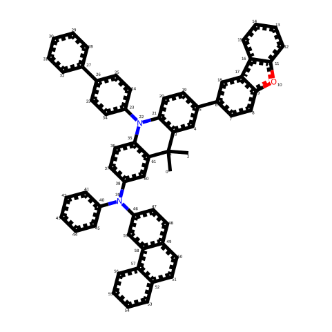 CC1(C)c2cc(-c3ccc4oc5ccccc5c4c3)ccc2N(c2ccc(-c3ccccc3)cc2)c2ccc(N(c3ccccc3)c3ccc4ccc5ccccc5c4c3)cc21